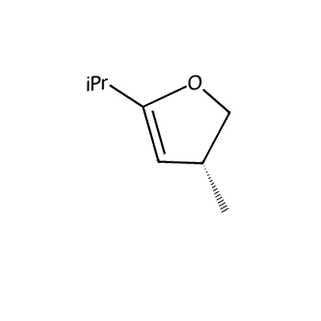 CC(C)C1=C[C@@H](C)CO1